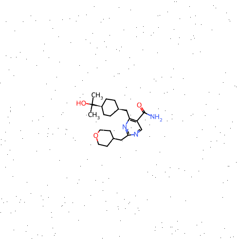 CC(C)(O)[C@H]1CC[C@@H](Cc2nc(CC3CCOCC3)ncc2C(N)=O)CC1